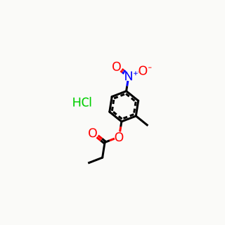 CCC(=O)Oc1ccc([N+](=O)[O-])cc1C.Cl